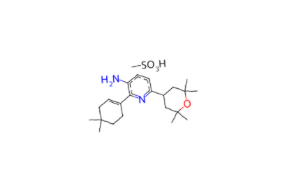 CC1(C)CC=C(c2nc(C3CC(C)(C)OC(C)(C)C3)ccc2N)CC1.CS(=O)(=O)O